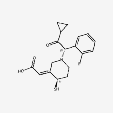 O=C(O)C=C1CN([C@H](C(=O)C2CC2)c2ccccc2F)CC[C@H]1S